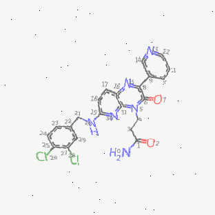 NC(=O)CCn1c(=O)c(-c2cccnc2)nc2ccc(NCc3ccc(Cl)c(Cl)c3)nc21